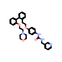 O=C(NCc1cccnc1)Nc1ccc(OCCc2ccccc2-c2ccccc2OCCN2CCOCC2)cc1